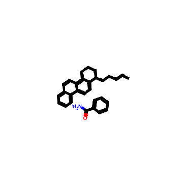 CCCCCC1CCCc2c1ccc1c2ccc2ccccc21.NC(=O)c1ccccc1